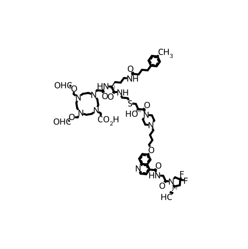 C#C[C@H]1CC(F)(F)CN1C(=O)CNC(=O)c1ccnc2ccc(OCCCCN3CCN(C(=O)[C@H](O)CSCCNC(=O)[C@H](CCCNC(=O)CCCc4ccc(C)cc4)NC(=O)CN4CCN(COC=O)CCN(COC=O)CCN(CC(=O)O)CC4)CC3)cc12